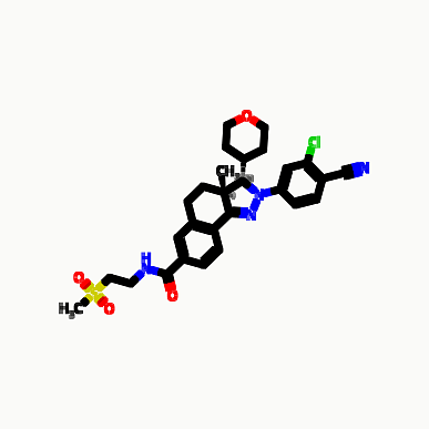 C[C@]12CCc3cc(C(=O)NCCS(C)(=O)=O)ccc3C1=NN(c1ccc(C#N)c(Cl)c1)[C@H]2C1CCOCC1